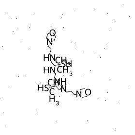 CC(C)(S)C(CNCCCN1CCOCC1)NCCNC(CNCCCN1CCOCC1)C(C)(C)S